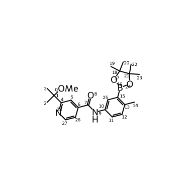 COC(C)(C)c1cc(C(=O)Nc2ccc(C)c(B3OC(C)(C)C(C)(C)O3)c2)ccn1